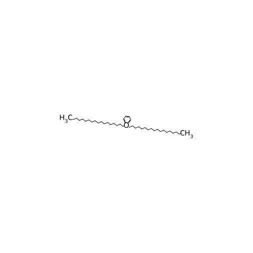 CCCCCCCCCCCCCCCCCCOCCCCCCCCCCCCCCCCCC.c1ccccc1